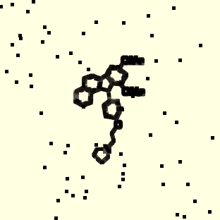 COc1cc(OC)c2c(c1)-c1ccc3ccccc3c1C2c1ccc(OCCN2CCCC2)cc1